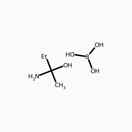 CCC(C)(N)O.OB(O)O